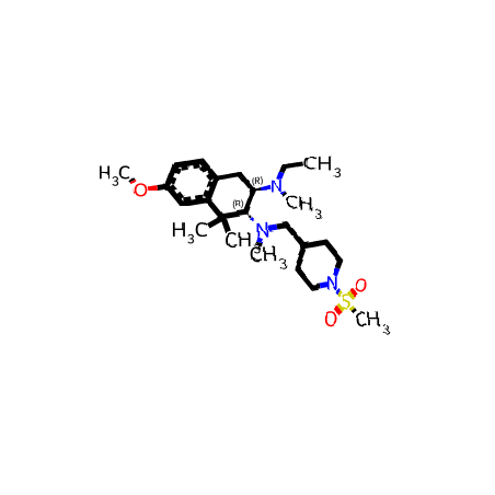 CCN(C)[C@@H]1Cc2ccc(OC)cc2C(C)(C)[C@H]1N(C)CC1CCN(S(C)(=O)=O)CC1